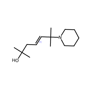 CC(C)(O)C/C=C/C(C)(C)N1CCCCC1